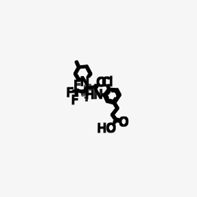 CC1CCN([C@H](C(=O)Nc2cc(CCC(=O)O)ccc2Cl)[C@H](C)C(F)(F)F)CC1